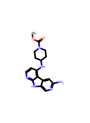 CC(C)(C)OC(=O)N1CCC(Nc2ccnc3[nH]c4cnc(N)cc4c23)CC1